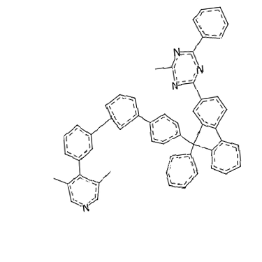 Cc1nc(-c2ccccc2)nc(-c2ccc3c(c2)C(c2ccccc2)(c2ccc(-c4cccc(-c5cccc(-c6c(C)cncc6C)c5)c4)cc2)c2ccccc2-3)n1